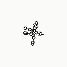 Cc1cc(C)c(-c2cc3c4c(c2)-n2c5ccc(C67CC8CC(CC(C8)C6)C7)cc5c5cc(C67CC8CC(CC(C8)C6)C7)cc(c52)B4N(c2ccc(-c4ccccc4)cc2)c2cc4c(cc2-3)Sc2ccccc2S4)c(C)c1